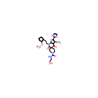 COc1ccccc1CCN1C(=O)C2(CCN(C(=O)NCCO)CC2)C(=O)c2c1sc(-c1ncco1)c2C